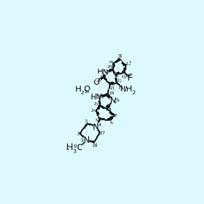 CN1CCN(c2ccc3nc(-c4c(N)c5c(F)cccc5[nH]c4=O)[nH]c3c2)CC1.O